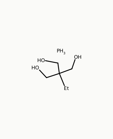 CCC(CO)(CO)CO.P